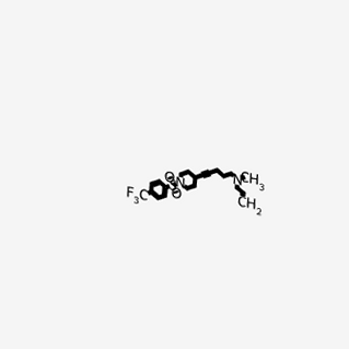 C=CCN(C)CCCC#CC1CCN(S(=O)(=O)c2ccc(C(F)(F)F)cc2)CC1